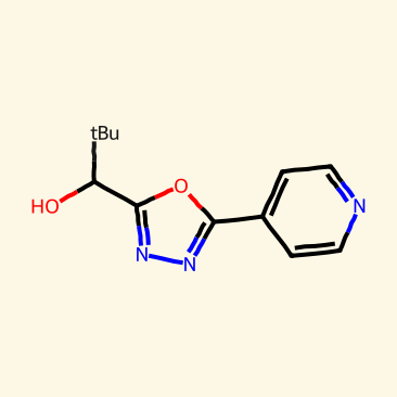 CC(C)(C)C(O)c1nnc(-c2ccncc2)o1